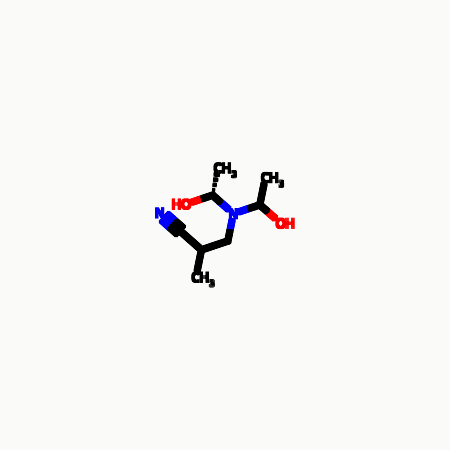 CC(C#N)CN(C(C)O)[C@@H](C)O